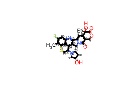 CC[C@@]1(O)C(=O)OCc2c1cc1n(c2=O)Cc2c-1nc1cc(F)c(C)c3c1c2C(N1CC[C@H](O)C1)CS3